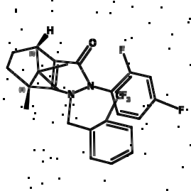 CC1(C)[C@@H]2CC[C@@]1(C)c1c2c(=O)n(-c2ccc(F)cc2F)n1Cc1ccccc1C(F)(F)F